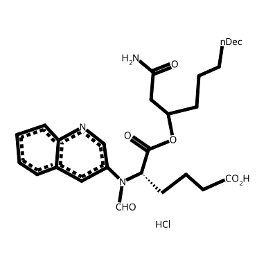 CCCCCCCCCCCCCC(CC(N)=O)OC(=O)[C@H](CCCC(=O)O)N(C=O)c1cnc2ccccc2c1.Cl